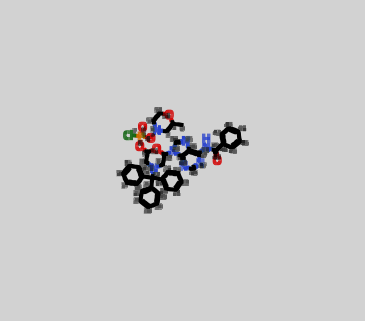 CC1CN(OP(=O)(Cl)OC2CN(C(c3ccccc3)(c3ccccc3)c3ccccc3)CC(n3cnc4c(NC(=O)c5ccccc5)ncnc43)O2)CCO1